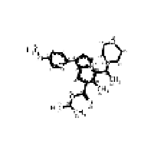 COc1ccc(-c2ccn3c(C(C)N4CCOCC4)c(C)c(C(=O)OC(C)C)cc23)cc1